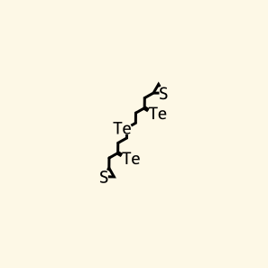 [Te]=C(CC[Te]CCC(=[Te])CC1CS1)CC1CS1